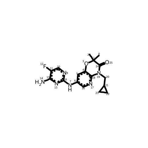 CC1(C)Oc2cc(Nc3ncc(F)c(N)n3)cnc2N(CC2CC2)C1=O